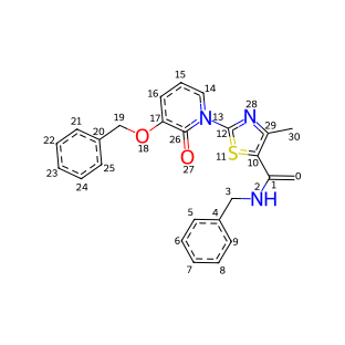 C=C(NCc1ccccc1)c1sc(-n2cccc(OCc3ccccc3)c2=O)nc1C